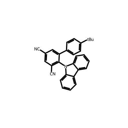 CC(C)(C)c1ccc(-c2cc(C#N)cc(C#N)c2-n2c3ccccc3c3ccccc32)cc1